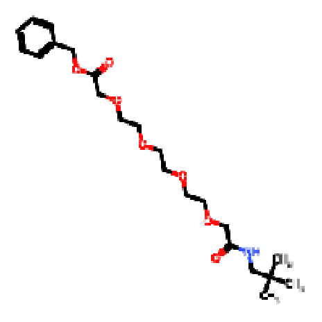 CC(C)(C)CNC(=O)COCCOCCOCCOCC(=O)OCc1ccccc1